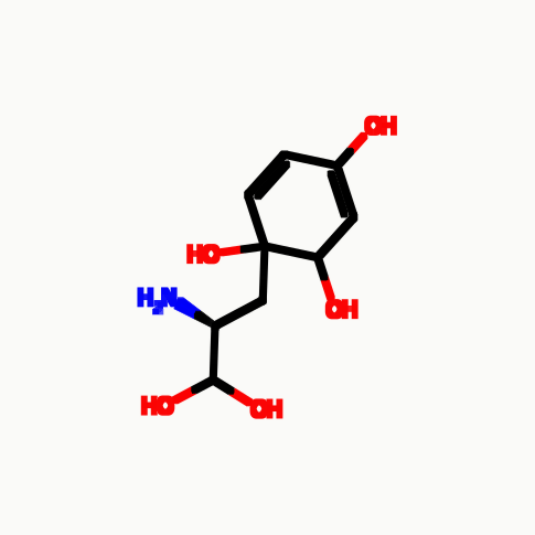 N[C@@H](CC1(O)C=CC(O)=CC1O)C(O)O